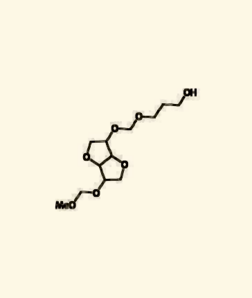 COCOC1COC2C(OCOCCCO)COC12